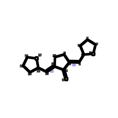 O=C1/C(=C/C2CCCO2)CC/C1=C\C1CCCO1